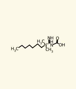 CCCCCCC[N+](C)(C)C(=N)NC(=O)O